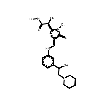 CCNC(=O)C(C#N)=c1sc(=CNc2cccc(C(O)CN3CCCCC3)c2)c(=O)n1CC